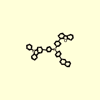 c1ccc(-n2c3ccccc3c3cc(-c4ccc(N(c5ccc(-c6ccc7ccccc7c6)cc5)c5ccc(-c6cccc7c6oc6ccccc67)cc5)cc4)ccc32)cc1